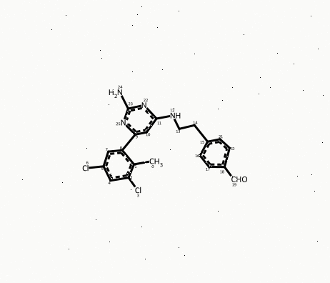 Cc1c(Cl)cc(Cl)cc1-c1cc(NCCc2ccc(C=O)cc2)nc(N)n1